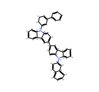 C1=C(c2ccccc2)C=C(n2c3ccccc3c3cc(-c4ccc5c(c4)c4ccccc4n5-c4ccc5ccccc5c4)ccc32)CC1